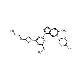 COc1nc(N2CC(OCCO)C2)cc(-n2ncc3cc(C)c([C@H]4CCN(C)C[C@H]4F)cc32)n1